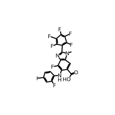 Cn1c(-c2c(F)c(F)c(F)c(F)c2F)nc2c(F)c(Nc3ccc(I)cc3F)c(C(=O)O)cc21